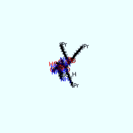 CC(C)CCCCCCCCCCCC(=O)NC(CSCC(COC(=O)CCCCCCCCCCCC(C)C)OC(=O)CCCCCCCCCCCC(C)C)C(=O)N[C@H](CC(N)=O)C(=O)N[C@H](CO)C(=O)N[C@H](CCC(N)=O)C(=O)N[C@H](C)C(=O)N[C@H](CCCCN)C(=O)O